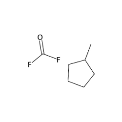 CC1CCCC1.O=C(F)F